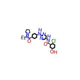 CCN(C(=O)c1ccc(Nc2ncc(NC(=O)c3cc(O)ccc3Cl)cn2)cc1)N1CCCC1